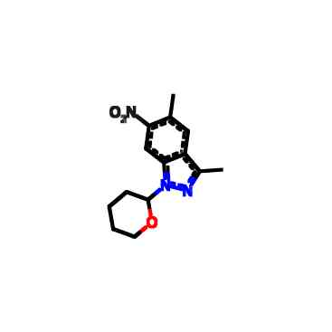 Cc1cc2c(C)nn(C3CCCCO3)c2cc1[N+](=O)[O-]